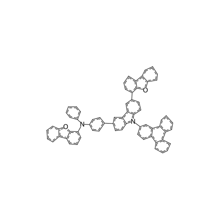 c1ccc(N(c2ccc(-c3ccc4c(c3)c3cc(-c5cccc6c5oc5ccccc56)ccc3n4-c3ccc4c5ccccc5c5ccccc5c4c3)cc2)c2cccc3c2oc2ccccc23)cc1